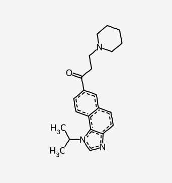 CC(C)n1cnc2ccc3cc(C(=O)CCN4CCCCC4)ccc3c21